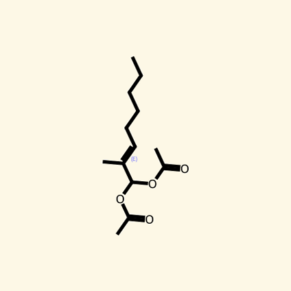 CCCCC/C=C(\C)C(OC(C)=O)OC(C)=O